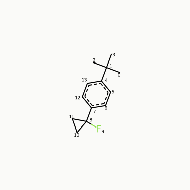 CC(C)(C)c1ccc(C2(F)CC2)cc1